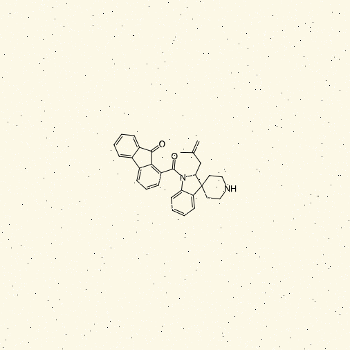 C=C(C)CC1N(C(=O)c2cccc3c2C(=O)c2ccccc2-3)c2ccccc2C12CCNCC2